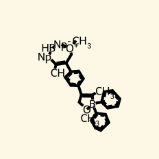 C[C]1=C(c2ccc(C3=C(C)[B-](c4ccccc4)(c4ccccc4)[O+](C)C3)cc2)C[O+](C)[Np-][BH][Np]1